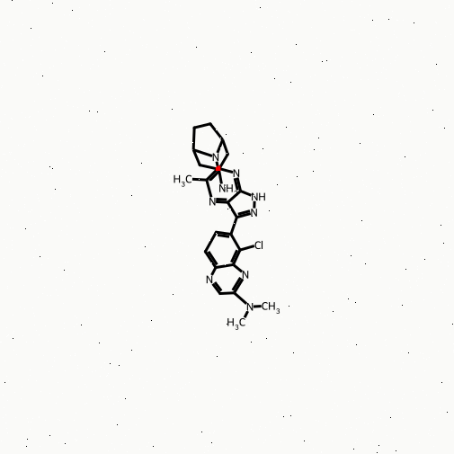 Cc1nc2c(-c3ccc4ncc(N(C)C)nc4c3Cl)n[nH]c2nc1N1C2CCC1CC(N)C2